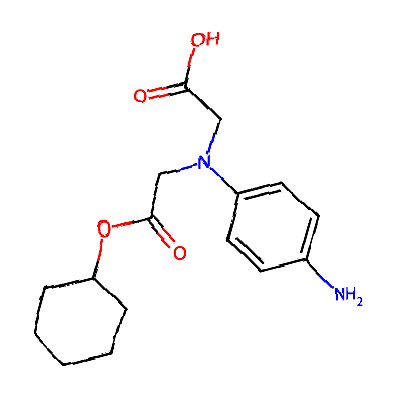 Nc1ccc(N(CC(=O)O)CC(=O)OC2CCCCC2)cc1